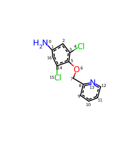 Nc1cc(Cl)c(OCc2ccccn2)c(Cl)c1